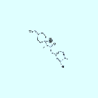 CON1CCC(N)(N(C)C(=O)Cc2cc(Br)c(C)cc2C)CC1